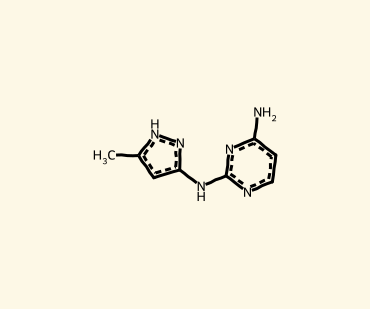 Cc1cc(Nc2nccc(N)n2)n[nH]1